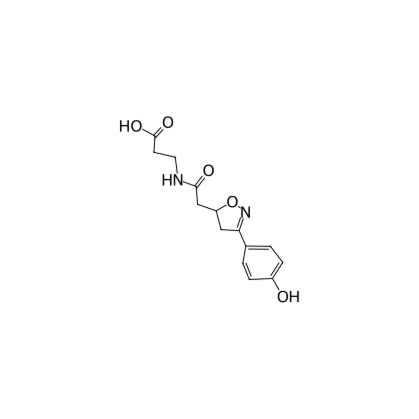 O=C(O)CCNC(=O)CC1CC(c2ccc(O)cc2)=NO1